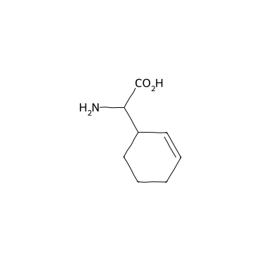 NC(C(=O)O)C1C=CCCC1